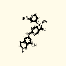 CC(C)n1c(=O)c2cnc(Nc3cc(C#N)c4c(c3)CCNC4)nc2n1-c1ccnc(C(C)(C)C)c1